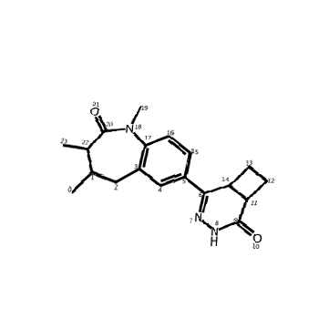 CC1Cc2cc(C3=NNC(=O)C4CCC34)ccc2N(C)C(=O)C1C